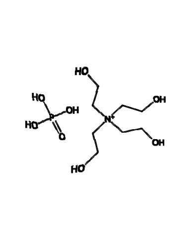 O=P(O)(O)O.OCC[N+](CCO)(CCO)CCO